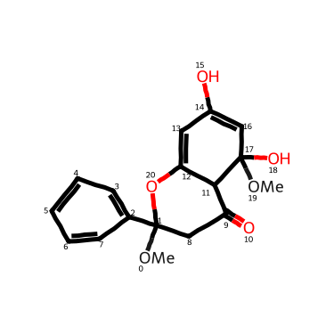 COC1(c2ccccc2)CC(=O)C2C(=CC(O)=CC2(O)OC)O1